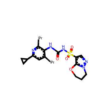 CC(C)c1cc(C2CC2)nc(C(C)C)c1NC(=O)NS(=O)(=O)c1cnn2c1OCCC2